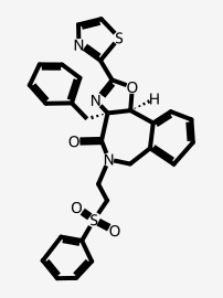 O=C1N(CCS(=O)(=O)c2ccccc2)Cc2ccccc2[C@@H]2OC(c3nccs3)=N[C@]12Cc1ccccc1